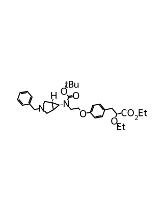 CCOC(=O)[C@H](Cc1ccc(OCCN(C(=O)OC(C)(C)C)[C@@H]2C3CN(Cc4ccccc4)C[C@H]32)cc1)OCC